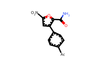 CC(=O)c1ccc(-c2cc([N+](=O)[O-])oc2C(N)=O)cc1